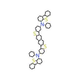 c1ccc(N(c2ccc3sc4cc5cc6c(cc5cc4c3c2)sc2ccc(N(c3ccccc3)c3cccc4c3sc3ccccc34)cc26)c2cccc3c2sc2ccccc23)cc1